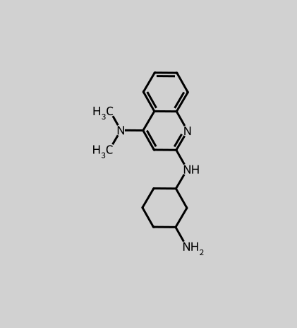 CN(C)c1cc(NC2CCCC(N)C2)nc2ccccc12